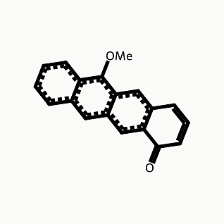 COc1c2ccccc2cc2cc3c(cc12)C=C=CC3=O